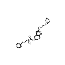 O=C(NCCCc1ccccc1)ON1CCc2sc(OCCCN3CCCC3)cc2C1